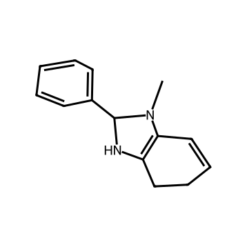 CN1C2=C(CCC=C2)NC1c1ccccc1